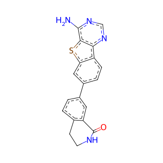 Nc1ncnc2c1sc1cc(-c3ccc4c(c3)C(=O)NCC4)ccc12